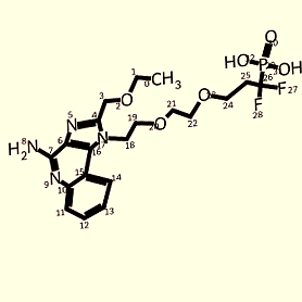 CCOCc1nc2c(N)nc3ccccc3c2n1CCOCCOCCC(F)(F)P(=O)(O)O